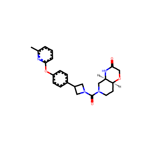 Cc1cccc(Oc2ccc(C3CN(C(=O)N4CC[C@@H]5OCC(=O)N[C@@H]5C4)C3)cc2)n1